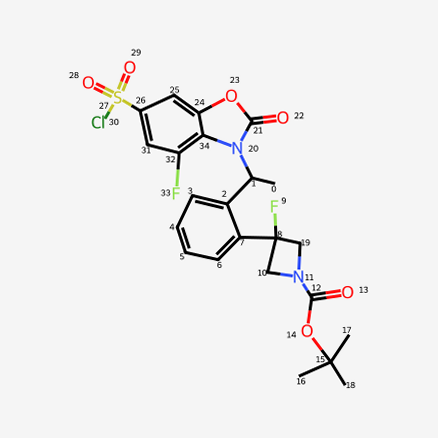 CC(c1ccccc1C1(F)CN(C(=O)OC(C)(C)C)C1)n1c(=O)oc2cc(S(=O)(=O)Cl)cc(F)c21